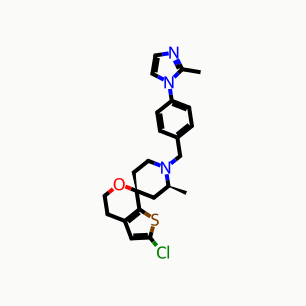 Cc1nccn1-c1ccc(CN2CC[C@]3(C[C@@H]2C)OCCc2cc(Cl)sc23)cc1